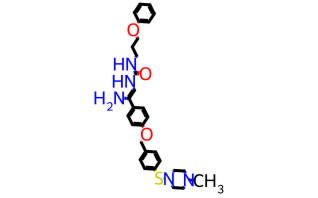 CN1CCN(Sc2ccc(COc3ccc(/C(N)=C/NC(=O)NCCCOc4ccccc4)cc3)cc2)CC1